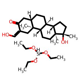 CCO[SiH](OCC)OCC.C[C@]12C/C(=C/O)C(=O)C[C@@H]1CC[C@@H]1[C@@H]2CC[C@@]2(C)[C@H]1CC[C@]2(C)O